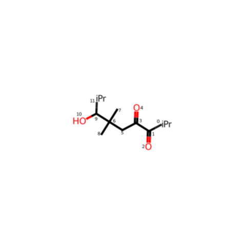 CC(C)C(=O)C(=O)CC(C)(C)C(O)C(C)C